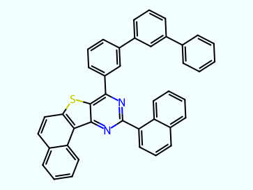 c1ccc(-c2cccc(-c3cccc(-c4nc(-c5cccc6ccccc56)nc5c4sc4ccc6ccccc6c45)c3)c2)cc1